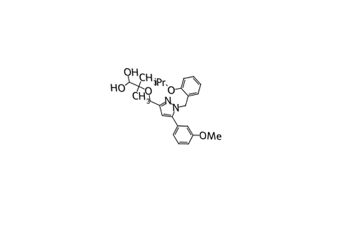 COc1cccc(-c2cc(COC(C)(C)C(O)O)nn2Cc2ccccc2OC(C)C)c1